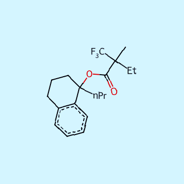 CCCC1(OC(=O)C(C)(CC)C(F)(F)F)CCCc2ccccc21